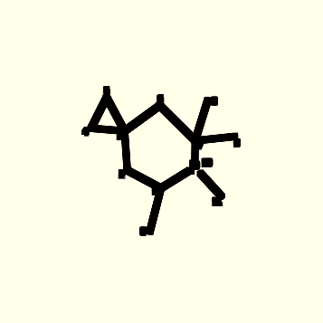 CC1CC2(CC2)CC(C)(C)P1C